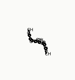 C#CCOc1ccc(-c2ccc3c(c2)CN(c2ccc(-c4ccc(N5COc6ccc(-c7ccc(OCC#C)cc7)cc6C5)cc4C)c(C)c2)CO3)cc1